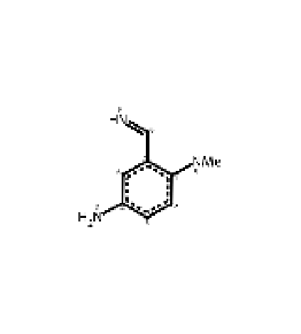 CNc1ccc(N)cc1C=N